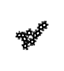 c1ccc(-c2nc3ccccc3c3cc4c5ccccc5n(-c5cccc(-c6ccc7cc(-c8ccc9ccccc9c8)ccc7c6)c5)c4cc23)cc1